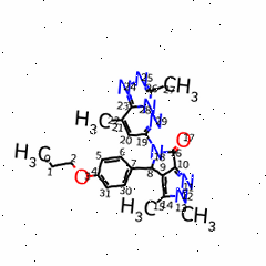 CCCOc1ccc(C2c3c(nn(C)c3C)C(=O)N2c2cc(C)c3nnc(C)n3n2)cc1